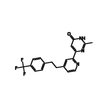 Cc1nc(-c2cc(CCc3ccc(C(F)(F)F)cc3)ccn2)cc(=O)[nH]1